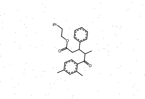 Cc1ccc(C(=O)C(C)C(CC(=O)OCCC(C)C)c2ccccc2)c(C)c1